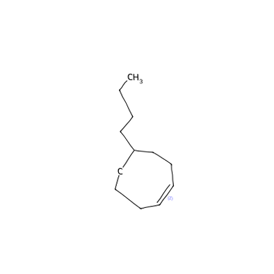 CCCCC1CC/C=C\CCC1